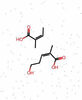 CC(=CCCO)C(=O)O.CC=C(C)C(=O)O